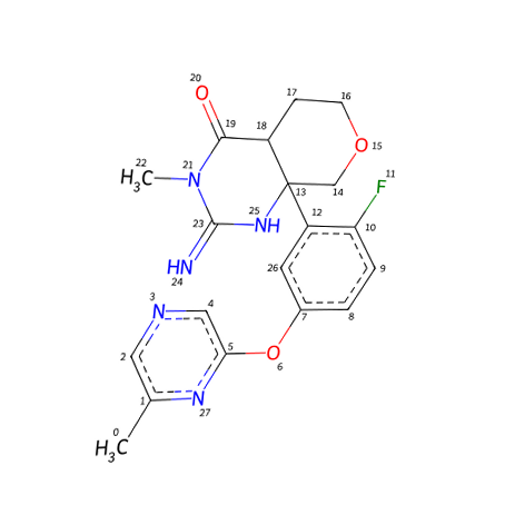 Cc1cncc(Oc2ccc(F)c(C34COCCC3C(=O)N(C)C(=N)N4)c2)n1